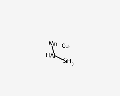 [Cu].[SiH3][AlH][Mn]